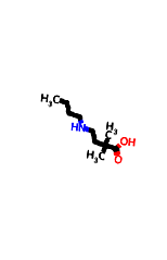 CCCCNCCC(C)(C)C(=O)O